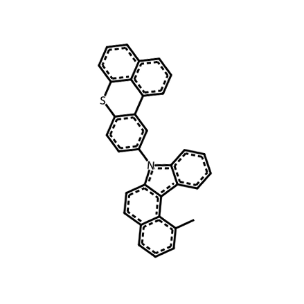 Cc1cccc2ccc3c(c4ccccc4n3-c3ccc4c(c3)-c3cccc5cccc(c35)S4)c12